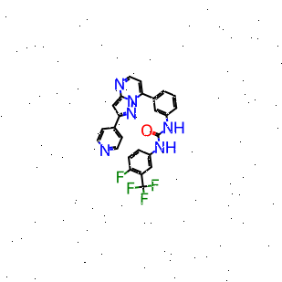 O=C(Nc1cccc(-c2ccnc3cc(-c4ccncc4)nn23)c1)Nc1ccc(F)c(C(F)(F)F)c1